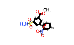 COC(=O)c1cccc(S(N)(=O)=O)c1.O=[N+]([O-])c1cc2ccc1o2